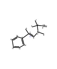 C/C(=C\N(C)C(C)(C)C(C)(C)C)c1ccccc1